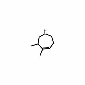 CC1=CCCNCC1C